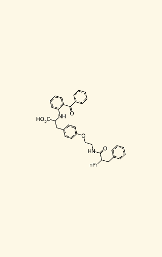 CCCC(Cc1ccccc1)C(=O)NCCOc1ccc(CC(Nc2ccccc2C(=O)c2ccccc2)C(=O)O)cc1